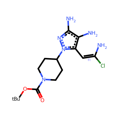 CC(C)(C)OC(=O)N1CCC(n2nc(N)c(N)c2/C=C(\N)Cl)CC1